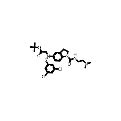 CN(C)CCNC(=O)N1CCc2cc(N(CC(=O)OC(C)(C)C)Sc3cc(Cl)cc(Cl)c3)ccc21